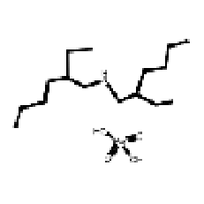 CCCCC(CC)CNCC(CC)CCCC.[O]=[Mo](=[O])([OH])[OH]